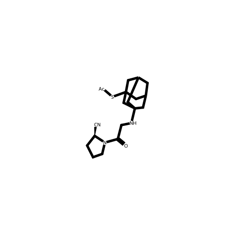 CC(=O)SC12CC3CC(CC(NCC(=O)N4CCC[C@H]4C#N)(C3)C1)C2